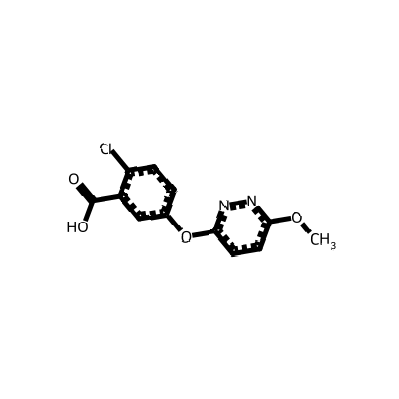 COc1ccc(Oc2ccc(Cl)c(C(=O)O)c2)nn1